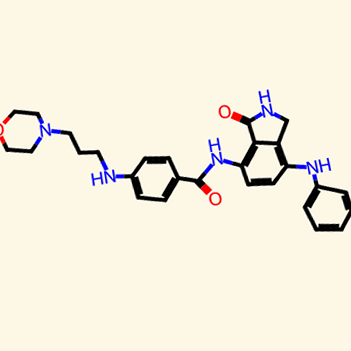 O=C(Nc1ccc(Nc2ccccc2)c2c1C(=O)NC2)c1ccc(NCCCN2CCOCC2)cc1